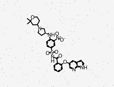 CC1(C)CC(N2CC[C@H](Nc3ccc(S(=O)(=O)NC(=O)c4ccccc4Oc4cnc5[nH]ccc5c4)cc3[N+](=O)[O-])C2)CCO1